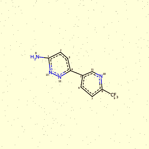 Nc1ccc(-c2ccc(C(F)(F)F)nc2)nn1